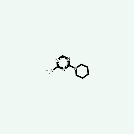 Nc1ncnc(N2CCCCC2)n1